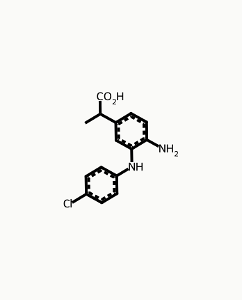 CC(C(=O)O)c1ccc(N)c(Nc2ccc(Cl)cc2)c1